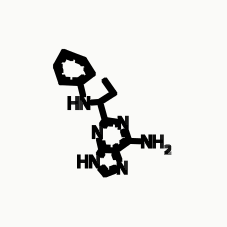 CCC(Nc1ccccc1)c1nc(N)c2nc[nH]c2n1